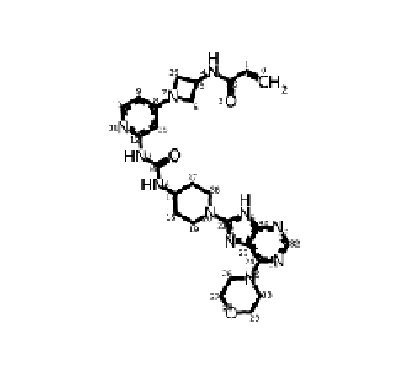 C=CC(=O)NC1CN(c2ccnc(NC(=O)NC3CCN(c4nc5c(N6CCOCC6)ncnc5[nH]4)CC3)c2)C1